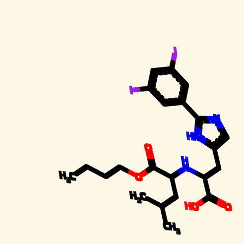 CCCCOC(=O)C(CC(C)C)NC(Cc1cnc(-c2cc(I)cc(I)c2)[nH]1)C(=O)O